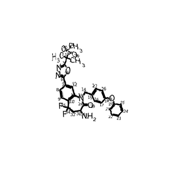 CC(C)(c1nnc(-c2ccc3c(c2)N(Cc2ccc(Oc4ccccc4)cc2)C(=O)C(N)CC3(F)F)o1)S(C)(=O)=O